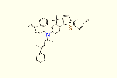 C=C/C=C\c1sc2c3c(ccc2c1C)C(C)(C)c1cc(N(C/C=C\C(=C/C)c2ccccc2)/C(C)=C/C=C(\C)c2ccccc2)ccc1-3